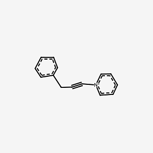 C(#C[n+]1ccccc1)Cc1ccccc1